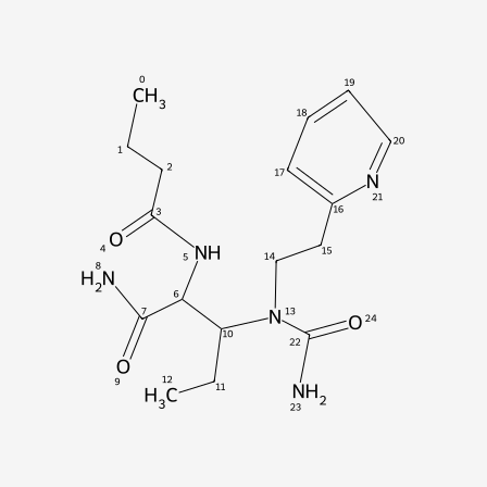 CCCC(=O)NC(C(N)=O)C(CC)N(CCc1ccccn1)C(N)=O